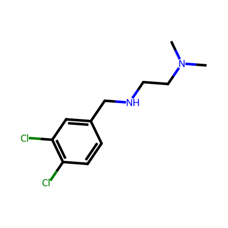 CN(C)CCNCc1ccc(Cl)c(Cl)c1